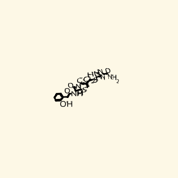 NC(=O)c1n[nH]c(SCC2=C(C(=O)O)N3C(=O)C(NC(=O)Cc4ccccc4O)[C@H]3SC2)n1